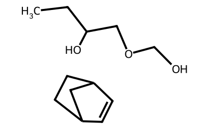 C1=CC2CCC1C2.CCC(O)COCO